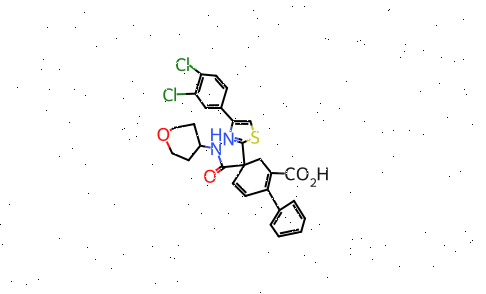 O=C(O)C1=C(c2ccccc2)C=CC(C(=O)NC2CCOCC2)(c2nc(-c3ccc(Cl)c(Cl)c3)cs2)C1